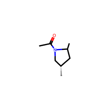 CC(=O)N1C[C@@H](C)CC1C